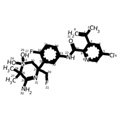 C=C(C)c1cc(Cl)cnc1C(=O)Nc1ccc(F)c(C2(CF)CS(O)(O)C(C)(C)C(N)=N2)c1